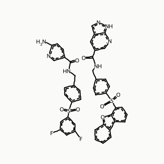 Nc1ccc(C(=O)NCc2ccc(S(=O)(=O)c3cc(F)cc(F)c3)cc2)cn1.O=C(NCc1ccc(S(=O)(=O)c2cccc3c2oc2ccccc23)cc1)c1cnc2[nH]ncc2c1